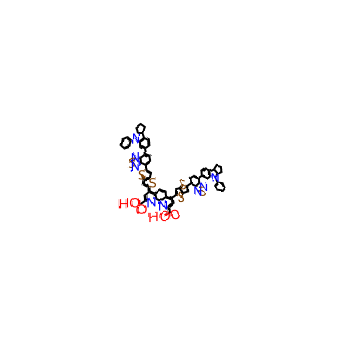 O=C(O)c1cc(-c2cc3sc(-c4ccc(-c5ccc6c(c5)N(c5ccccc5)C5CCCC65)c5nsnc45)cc3s2)c2ccc3c(-c4cc5sc(-c6ccc(-c7ccc8c(c7)N(c7ccccc7)C7CCCC87)c7nsnc67)cc5s4)cc(C(=O)O)nc3c2n1